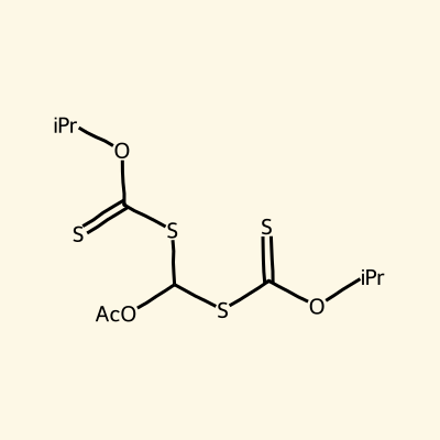 CC(=O)OC(SC(=S)OC(C)C)SC(=S)OC(C)C